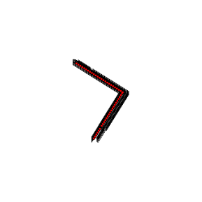 [Pt].[Pt].[Pt].[Pt].[Pt].[Pt].[Pt].[Pt].[Pt].[Pt].[Pt].[Pt].[Pt].[Pt].[Pt].[Pt].[Pt].[Pt].[Pt].[Pt].[Pt].[Pt].[Pt].[Pt].[Pt].[Ru].[Ru].[Ru].[Ru].[Ru].[Ru].[Ru].[Ru].[Ru].[Ru].[Ru].[Ru].[Ru].[Ru].[Ru].[Ru].[Ru].[Ru].[Ru].[Ru].[Ru].[Ru].[Ru].[Ru].[Ru].[Ru].[Ru].[Ru].[Ru].[Ru].[Ru].[Ru].[Ru].[Ru].[Ru].[Ru].[Ru].[Ru].[Ru].[Ru].[Ru].[Ru].[Ru].[Ru].[Ru].[Ru].[Ru].[Ru].[Ru].[Ru].[Ru].[Ru].[Ru].[Ru].[Ru].[Ru].[Ru].[Ru].[Ru].[Ru].[Ru].[Ru].[Ru].[Ru].[Ru].[Ru].[Ru].[Ru].[Ru].[Ru].[Ru].[Ru].[Ru].[Ru].[Ru]